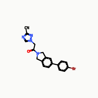 N#Cc1ncn(CC(=O)N2Cc3ccc(-c4ccc(Br)cc4)cc3C2)n1